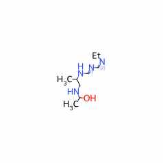 CC/N=C\N=C\NC(C)CNC(C)O